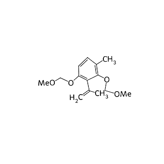 C=C(C)c1c(OCOC)ccc(C)c1OCOC